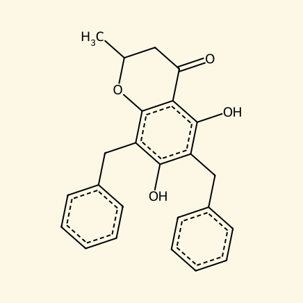 CC1CC(=O)c2c(O)c(Cc3ccccc3)c(O)c(Cc3ccccc3)c2O1